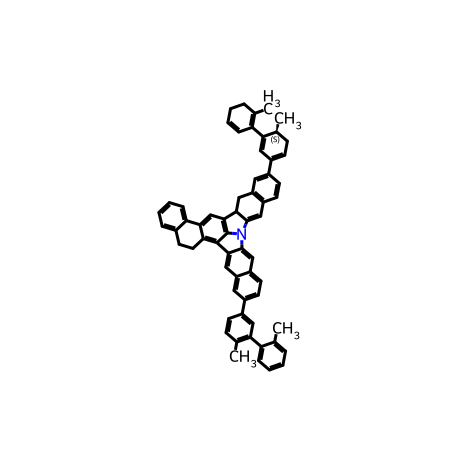 CC1=C(C2=CC(c3ccc4c(c3)CC3C(=C4)n4c5cc6ccc(-c7ccc(C)c(-c8ccccc8C)c7)cc6cc5c5c6c(cc3c54)-c3ccccc3CC6)=CC[C@@H]2C)C=CCC1